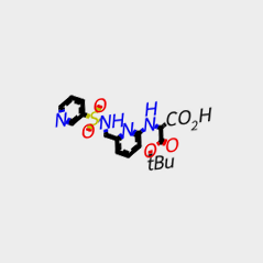 CC(C)(C)OC(=O)C(Nc1cccc(CNS(=O)(=O)c2cccnc2)n1)C(=O)O